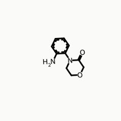 Nc1ccccc1N1CCOCC1=O